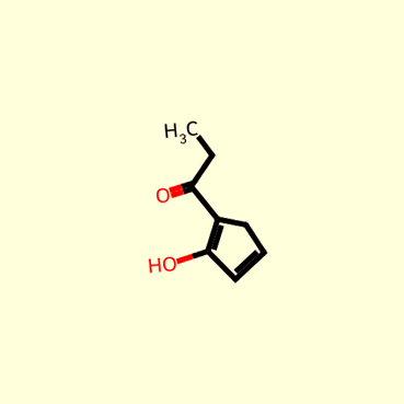 CCC(=O)C1=C(O)C=CC1